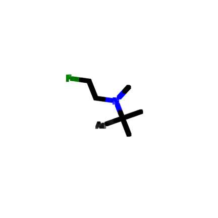 CC(=O)C(C)(C)N(C)CCF